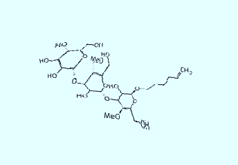 C=CCCCCO[C@H]1OC(CO)[C@@H](OC)C(O[C@H]2OC(CO)[C@@H](OC)C(O[C@H]3OC(CO)[C@@H](O)C(O)C3O)C2O)C1O